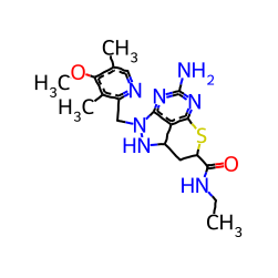 CCNC(=O)C1CC2NN(Cc3ncc(C)c(OC)c3C)c3nc(N)nc(c32)S1